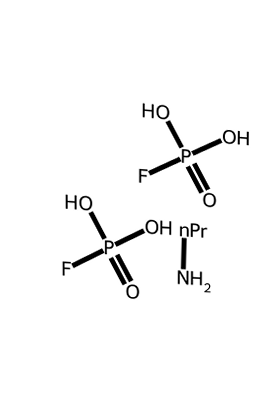 CCCN.O=P(O)(O)F.O=P(O)(O)F